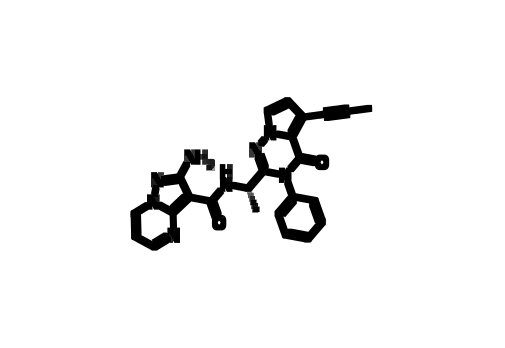 CC#Cc1ccn2nc([C@H](C)NC(=O)c3c(N)nn4cccnc34)n(-c3ccccc3)c(=O)c12